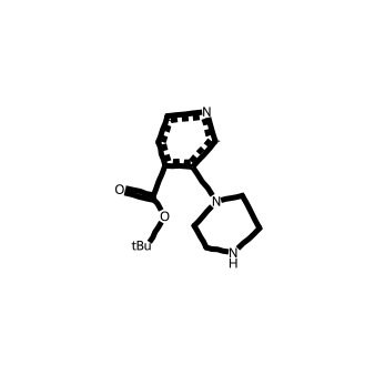 CC(C)(C)OC(=O)c1ccn[c]c1N1CCNCC1